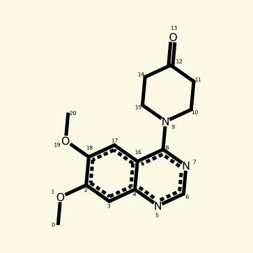 COc1cc2ncnc(N3CCC(=O)CC3)c2cc1OC